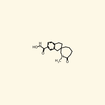 CN1CC2(CCCCC1=O)CCc1ccc(C(=O)NO)cc1C2